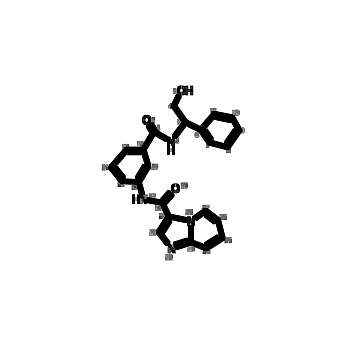 O=C(NC(CO)c1ccccc1)c1cccc(NC(=O)c2cnc3ccccn23)c1